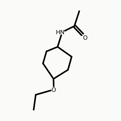 CCOC1CCC(NC(C)=O)CC1